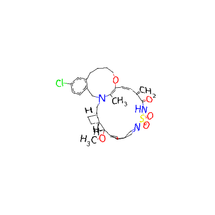 C=C1/C=C\C2=C(/C)N(Cc3ccc(Cl)cc3CCCCO2)C[C@@H]2CC[C@H]2[C@@H](OC)C2=CC3(C2)CN(C3)S(=O)(=O)NC1=O